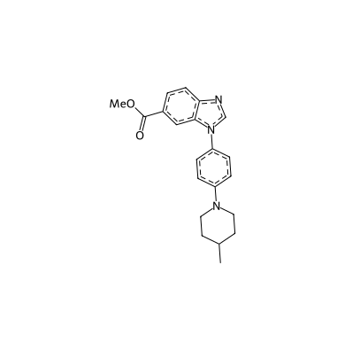 COC(=O)c1ccc2ncn(-c3ccc(N4CCC(C)CC4)cc3)c2c1